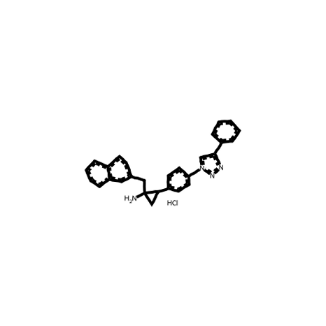 Cl.NC1(Cc2ccc3ccccc3c2)CC1c1ccc(-n2cc(-c3ccccc3)nn2)cc1